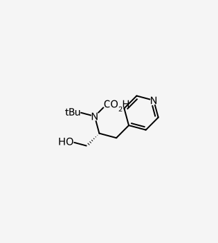 CC(C)(C)N(C(=O)O)[C@@H](CO)Cc1ccncc1